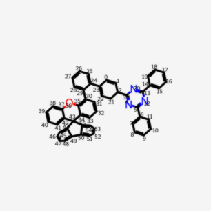 C1=CC(c2nc(-c3ccccc3)nc(-c3ccccc3)n2)CC=C1c1ccccc1-c1cccc2c1Oc1ccccc1C21c2ccccc2-c2ccccc21